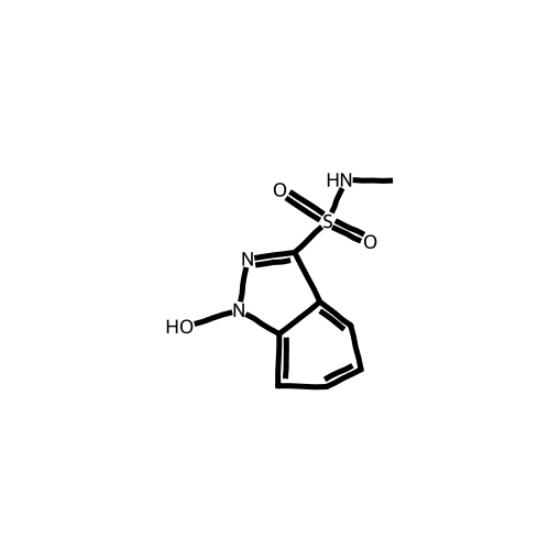 CNS(=O)(=O)c1nn(O)c2ccccc12